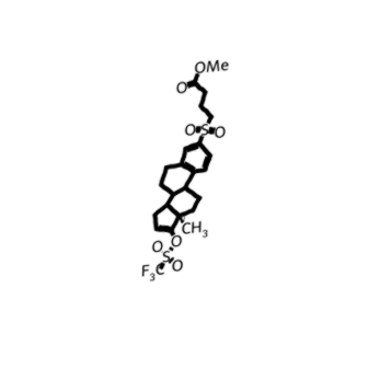 COC(=O)CCCS(=O)(=O)c1ccc2c(c1)CCC1C2CC[C@]2(C)C(OS(=O)(=O)C(F)(F)F)=CCC12